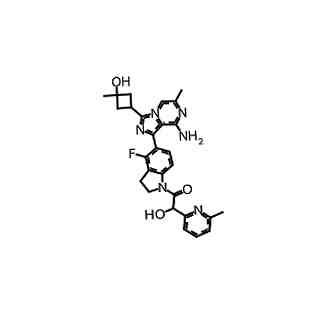 Cc1cccc(C(O)C(=O)N2CCc3c2ccc(-c2nc(C4CC(C)(O)C4)n4cc(C)nc(N)c24)c3F)n1